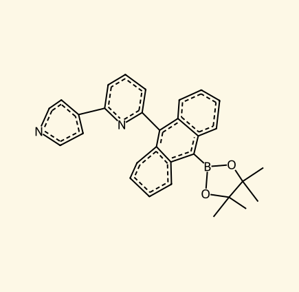 CC1(C)OB(c2c3ccccc3c(-c3cccc(-c4ccncc4)n3)c3ccccc23)OC1(C)C